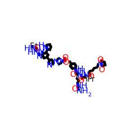 CCNC(=O)Nc1nc2cc(-c3cncc(N4CCN(C(=O)OCc5ccc(NC(=O)[C@H](CCCNC(N)=O)NC(=O)C(NC(=O)CCCCCN6C(=O)C=CC6=O)C(C)C)cc5)CC4)c3)cc(-c3ccccn3)c2[nH]1